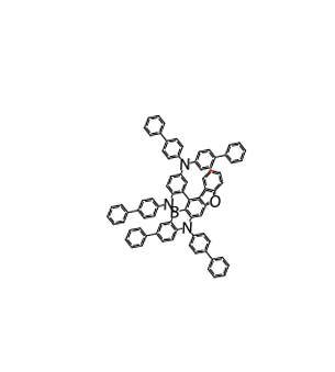 c1ccc(-c2ccc(N3B4c5cc(-c6ccccc6)ccc5N(c5ccc(-c6ccccc6)cc5)c5cc6oc7ccccc7c6c(c54)-c4cc(N(c5ccc(-c6ccccc6)cc5)c5ccc(-c6ccccc6)cc5)ccc43)cc2)cc1